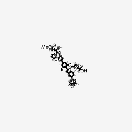 COC(=O)N[C@H](C(=O)N1CCC[C@H]1c1ncc(-c2cc(F)c3c(c2)OC(c2cnc(C(C)(C)O)s2)n2c-3cc3cc(B4OC(C)(C)C(C)(C)O4)ccc32)[nH]1)C(C)C